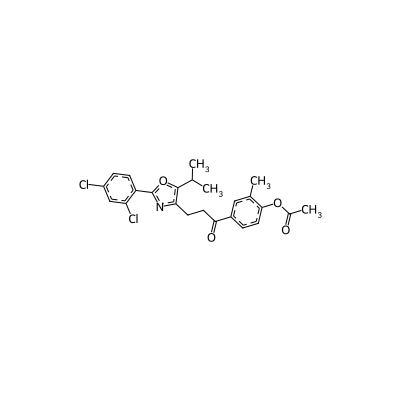 CC(=O)Oc1ccc(C(=O)CCc2nc(-c3ccc(Cl)cc3Cl)oc2C(C)C)cc1C